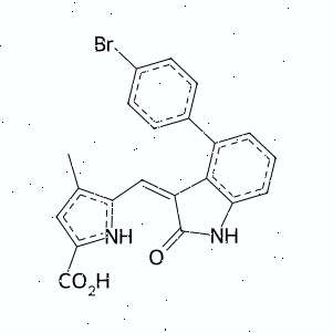 Cc1cc(C(=O)O)[nH]c1C=C1C(=O)Nc2cccc(-c3ccc(Br)cc3)c21